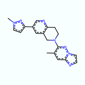 Cc1cc2nccn2nc1N1CCc2ncc(-c3ccn(C)n3)cc2C1